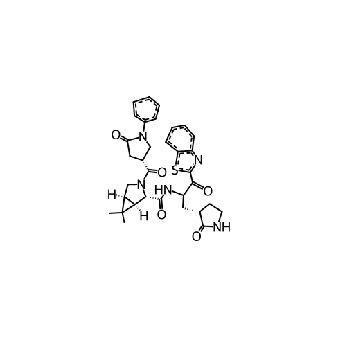 CC1(C)[C@@H]2[C@@H](C(=O)NC(C[C@@H]3CCNC3=O)C(=O)c3nc4ccccc4s3)N(C(=O)[C@@H]3CC(=O)N(c4ccccc4)C3)C[C@@H]21